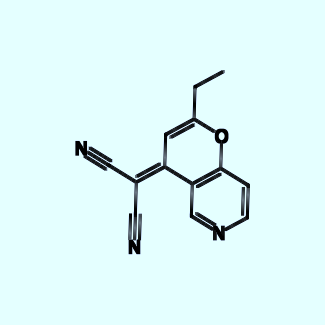 CCC1=CC(=C(C#N)C#N)c2cnccc2O1